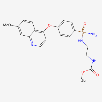 COc1ccc2c(Oc3ccc([SH](N)(=O)NCCNC(=O)OC(C)(C)C)cc3)ccnc2c1